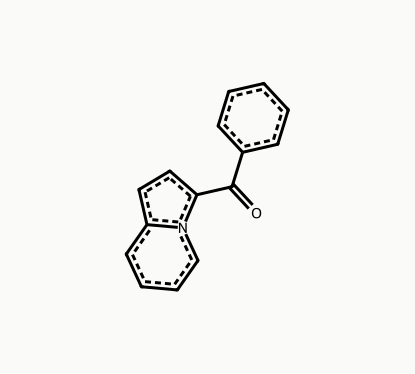 O=C(c1ccccc1)c1ccc2ccccn12